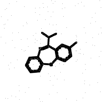 Cc1ccc2c(c1)C(C(C)C)=Nc1ccccc1O2